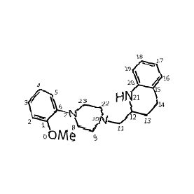 COc1ccccc1N1CCN(CC2CCc3ccccc3N2)CC1